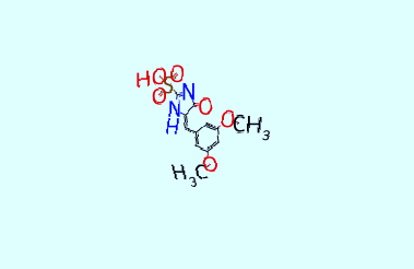 COc1cc(C=C2NC(S(=O)(=O)O)=NC2=O)cc(OC)c1